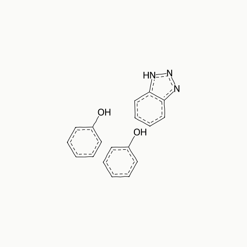 Oc1ccccc1.Oc1ccccc1.c1ccc2[nH]nnc2c1